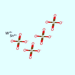 O=S(=O)([O-])[O-].O=S(=O)([O-])[O-].O=S(=O)([O-])[O-].O=S(=O)([O-])[O-].[Sn+4].[W+4]